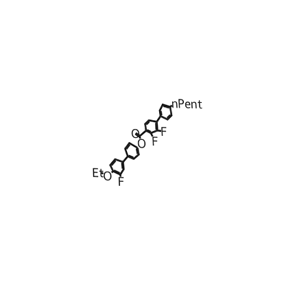 CCCCCc1ccc(-c2ccc(C(=O)Oc3ccc(-c4ccc(OCC)c(F)c4)cc3)c(F)c2F)cc1